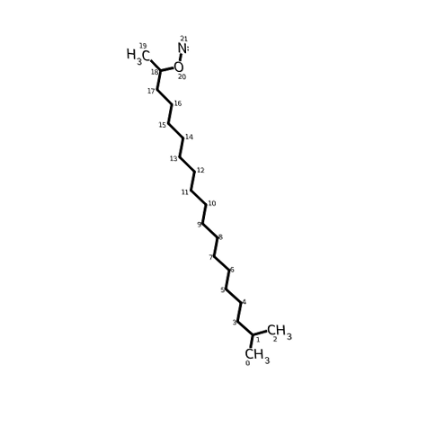 CC(C)CCCCCCCCCCCCCCCC(C)O[N]